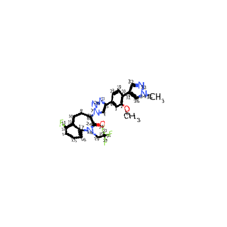 COc1cc(-c2cn([C@@H]3CCc4c(F)cccc4N(CC(F)(F)F)C3=O)nn2)ccc1-c1cnn(C)c1